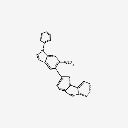 O=[N+]([O-])c1cc2c(ccn2-c2ccccc2)cc1-c1ccc2sc3ccccc3c2c1